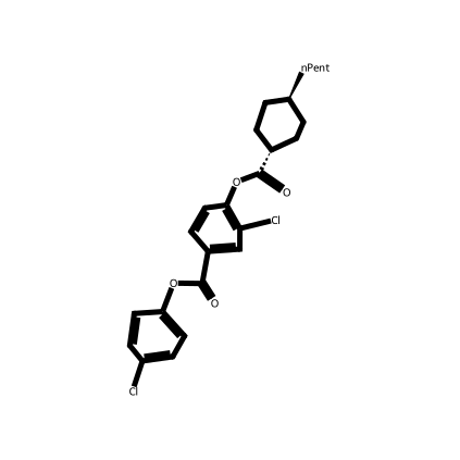 CCCCC[C@H]1CC[C@H](C(=O)Oc2ccc(C(=O)Oc3ccc(Cl)cc3)cc2Cl)CC1